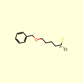 CC[C@@H](F)CCCCOCc1ccccc1